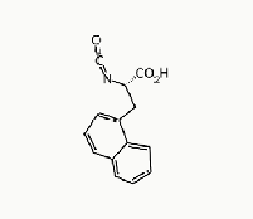 O=C=N[C@@H](Cc1cccc2ccccc12)C(=O)O